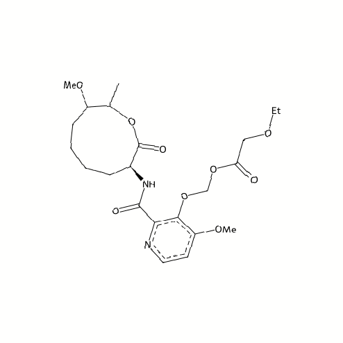 CCOCC(=O)OCOc1c(OC)ccnc1C(=O)N[C@H]1CCCCC(OC)C(C)OC1=O